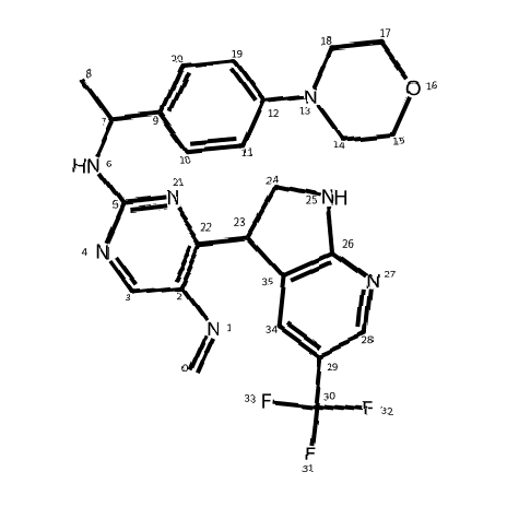 C=Nc1cnc(NC(C)c2ccc(N3CCOCC3)cc2)nc1C1CNc2ncc(C(F)(F)F)cc21